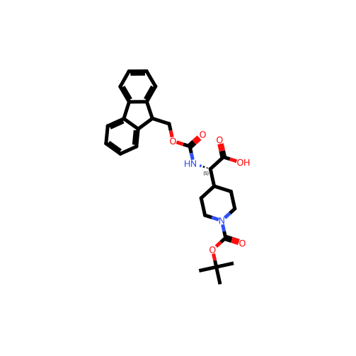 CC(C)(C)OC(=O)N1CCC([C@H](NC(=O)OCC2c3ccccc3-c3ccccc32)C(=O)O)CC1